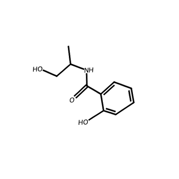 CC(CO)NC(=O)c1ccccc1O